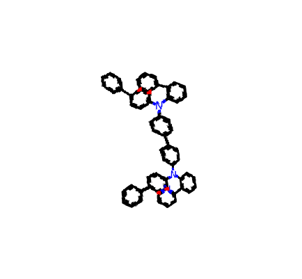 c1ccc(-c2ccc(N(c3ccc(-c4ccc(N(c5ccc(-c6ccccc6)cc5)c5ccccc5-c5ccccn5)cc4)cc3)c3ccccc3-c3ccccc3)cc2)cc1